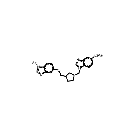 COc1ccc2c(c1)nnn2CN1CCC(COc2ccc3c(c2)nnn3C(C)=O)C1